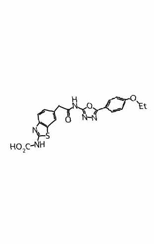 CCOc1ccc(-c2nnc(NC(=O)Cc3ccc4nc(NC(=O)O)sc4c3)o2)cc1